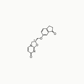 O=C1CCc2ccc(OC[C@@H]3Cn4ccc(=O)nc4O3)cc21